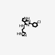 Clc1cccc(-c2nc(NCCc3cnc[nH]3)c3cc[nH]c3n2)c1